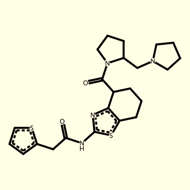 O=C(Cc1cccs1)Nc1nc2c(s1)CCCC2C(=O)N1CCCC1CN1CCCC1